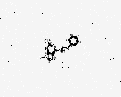 Cn1cnc2c(NCCc3ccccc3)nc(Cl)nc21